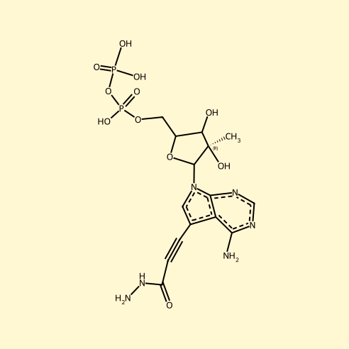 C[C@@]1(O)C(O)C(COP(=O)(O)OP(=O)(O)O)OC1n1cc(C#CC(=O)NN)c2c(N)ncnc21